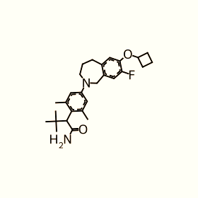 Cc1cc(N2CCCc3cc(OC4CCC4)c(F)cc3C2)cc(C)c1C(C(N)=O)C(C)(C)C